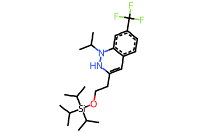 CC(C)N1NC(CCO[Si](C(C)C)(C(C)C)C(C)C)=Cc2ccc(C(F)(F)F)cc21